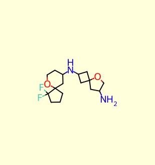 NC1COC2(C1)CC(NC1CCOC3(CCCC3(F)F)C1)C2